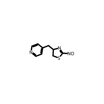 O=NC1=NC(Cc2ccncc2)CS1